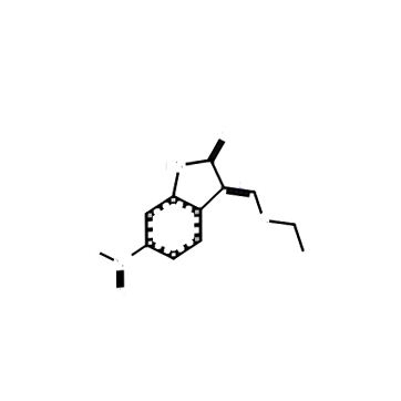 CCS/C=C1/C(=O)Nc2cc([N+](=O)[O-])ccc21